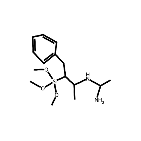 CO[Si](OC)(OC)C(Cc1ccccc1)C(C)NC(C)N